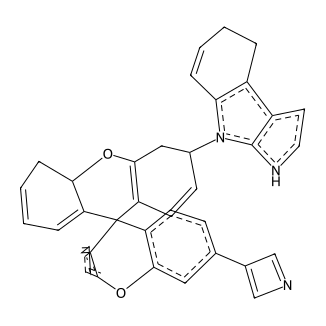 C1=CCC2OC3=C(C=CC(n4c5c(c6cc[nH]c64)CCC=C5)C3)C3(C2=C1)c1ccccc1Oc1cc(C2=CN=C2)ccc13